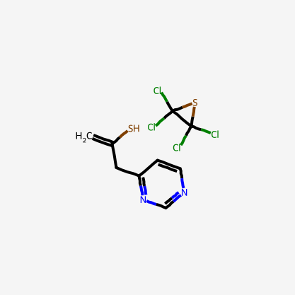 C=C(S)Cc1ccncn1.ClC1(Cl)SC1(Cl)Cl